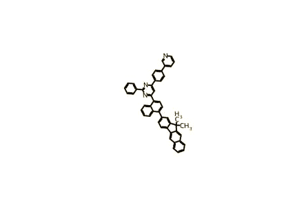 CC1(C)c2cc(-c3ccc(-c4cc(-c5ccc(-c6cccnc6)cc5)nc(-c5ccccc5)n4)c4ccccc34)ccc2-c2cc3ccccc3cc21